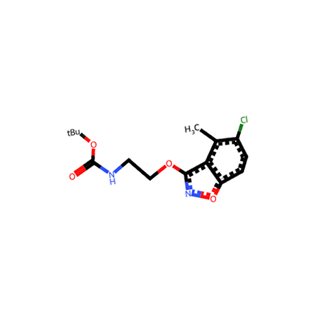 Cc1c(Cl)ccc2onc(OCCNC(=O)OC(C)(C)C)c12